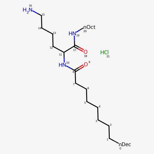 CCCCCCCCCCCCCCCCCC(=O)NC(CCCCN)C(=O)NCCCCCCCC.Cl